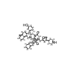 O=C1[C@H](Cc2ccc(O)cc2)N2C(=O)CN(Cc3cc(C4CCNCC4)no3)N(C(=O)NCc3ccccc3)[C@H]2CN1Cc1cccc2ncccc12